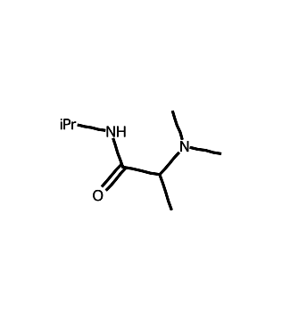 CC(C)NC(=O)C(C)N(C)C